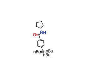 CCC[CH2][Sn]([CH2]CCC)([CH2]CCC)[c]1ccc(C(=O)NC2CCCC2)cc1